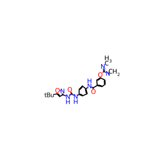 C=N/C(=N\C)Oc1cccc(C(=O)Nc2ccc(NC(=O)Nc3cc(C(C)(C)C)on3)cc2)c1